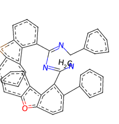 C=N/C(=N\C(=N/Cc1ccccc1)c1cccc2sc3ccccc3c12)c1c(-c2ccccc2)ccc2oc3ccccc3c12